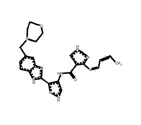 C/C=C\C=N/c1n[nH]cc1C(=O)Nc1c[nH]nc1-c1nc2cc(CN3CCOCC3)ccc2[nH]1